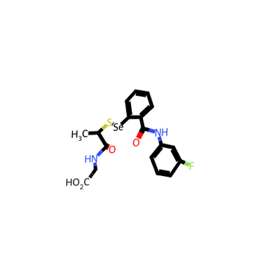 CC(S[Se]c1ccccc1C(=O)Nc1cccc(F)c1)C(=O)NCC(=O)O